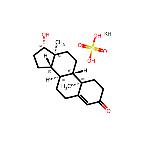 C[C@]12CC[C@H]3[C@@H](CCC4=CC(=O)CC[C@@]43C)[C@@H]1CC[C@@H]2O.O=S(=O)(O)O.[KH]